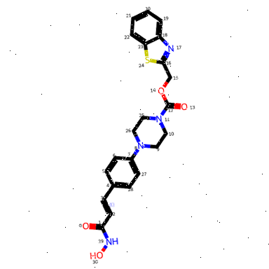 O=C(/C=C/c1ccc(N2CCN(C(=O)OCc3nc4ccccc4s3)CC2)cc1)NO